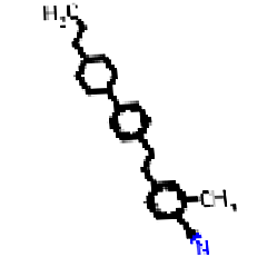 CCCC1CCC(c2ccc(CCc3ccc(C#N)c(C)c3)cc2)CC1